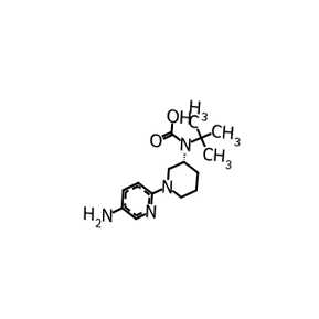 CC(C)(C)N(C(=O)O)[C@@H]1CCCN(c2ccc(N)cn2)C1